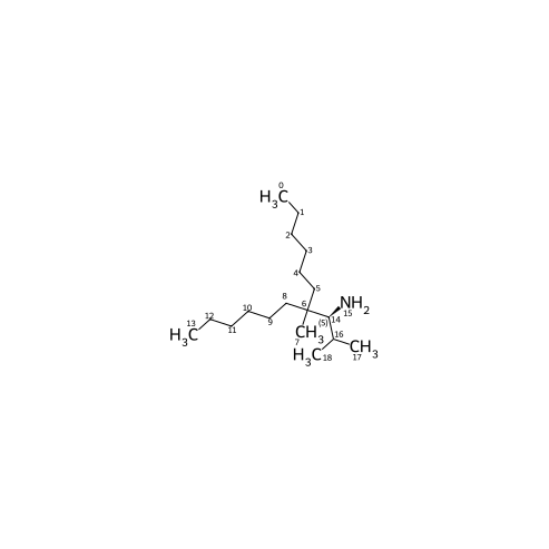 CCCCCCC(C)(CCCCCC)[C@@H](N)C(C)C